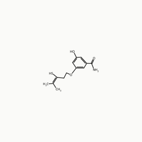 CC(C)=C(S)CCOc1cc(O)cc(C(N)=O)c1